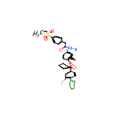 CCS(=O)(=O)c1ccc(CC(=O)Nc2ccc(OC3(c4ccc(Cl)c(F)c4)CCC3)cc2)cc1